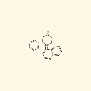 C1CNCCN1.c1ccc2ncccc2c1.c1ccccc1